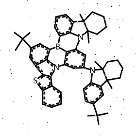 CC(C)(C)c1ccc2c(c1)C1(C)CCCCC1(C)N2c1cc2c3c(c1)-n1c4c(cc(C(C)(C)C)cc4c4sc5ccccc5c41)B3c1cccc3c1N2C1(C)CCCCC31C